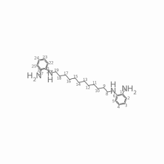 Nc1ccccc1NCCCCCCCCCCCCNc1ccccc1N